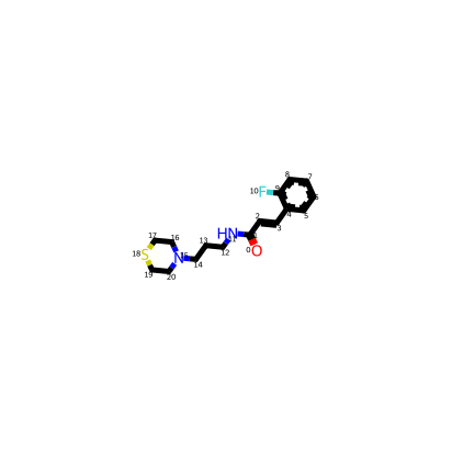 O=C(/C=C/c1ccccc1F)NCCCN1CCSCC1